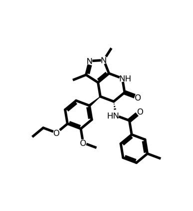 CCOc1ccc([C@H]2c3c(C)nn(C)c3NC(=O)[C@@H]2NC(=O)c2cccc(C)c2)cc1OC